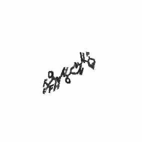 O=C(NNC(=O)C(F)(F)F)c1cnc(Nc2ccccc2F)nc1